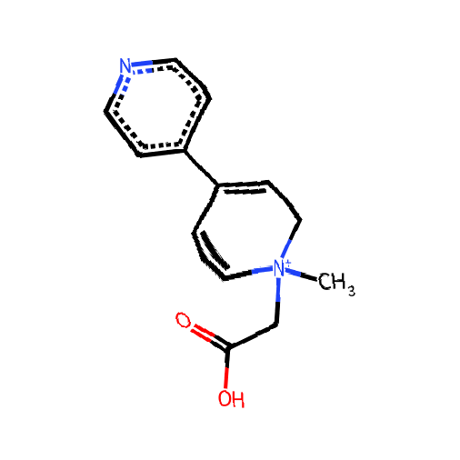 C[N+]1(CC(=O)O)C=CC(c2ccncc2)=CC1